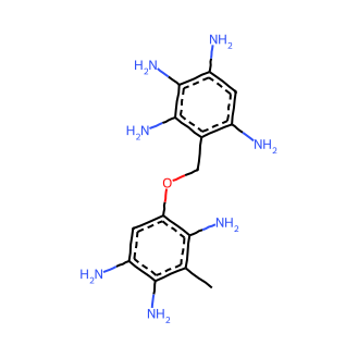 Cc1c(N)c(N)cc(OCc2c(N)cc(N)c(N)c2N)c1N